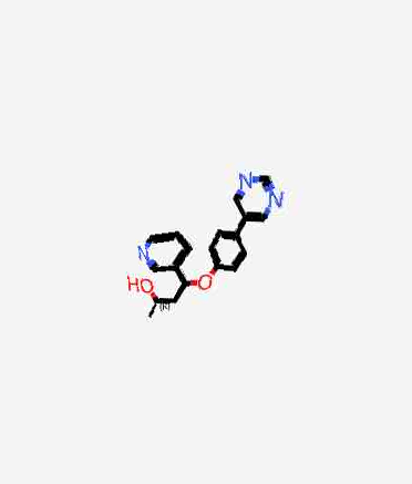 C[C@@H](O)CC(Oc1ccc(-c2cncnc2)cc1)c1cccnc1